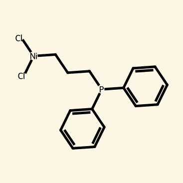 [Cl][Ni]([Cl])[CH2]CCP(c1ccccc1)c1ccccc1